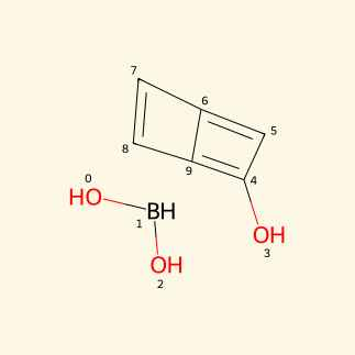 OBO.Oc1cc2ccc1-2